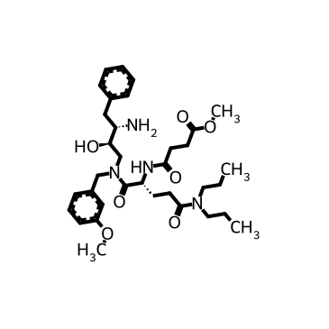 CCCN(CCC)C(=O)CC[C@@H](NC(=O)CCC(=O)OC)C(=O)N(Cc1cccc(OC)c1)C[C@@H](O)[C@@H](N)Cc1ccccc1